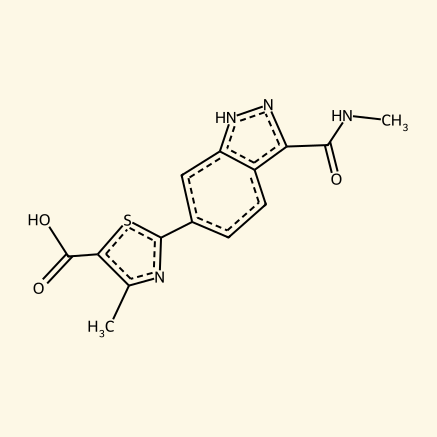 CNC(=O)c1n[nH]c2cc(-c3nc(C)c(C(=O)O)s3)ccc12